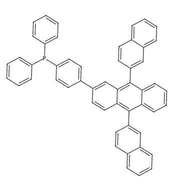 c1ccc(P(c2ccccc2)c2ccc(-c3ccc4c(-c5ccc6ccccc6c5)c5ccccc5c(-c5ccc6ccccc6c5)c4c3)cc2)cc1